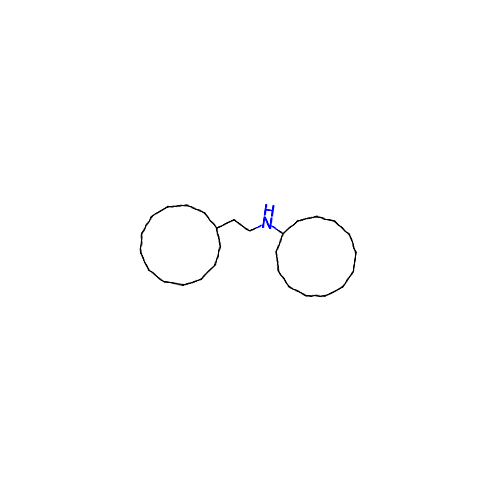 C1CCCCCCC(CCNC2CCCCCCCCCCCC2)CCCCC1